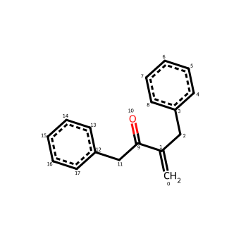 C=C(Cc1ccccc1)C(=O)Cc1ccccc1